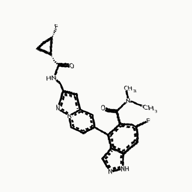 CN(C)C(=O)c1c(F)cc2[nH]ncc2c1-c1ccn2nc(NC(=O)[C@@H]3C[C@@H]3F)cc2c1